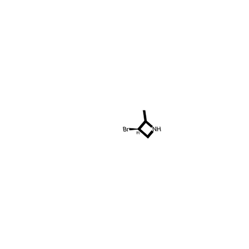 CC1NC[C@H]1Br